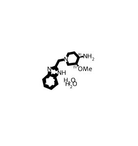 CO[C@H]1CN(Cc2nc3ccccc3[nH]2)CC[C@H]1N.O.O